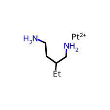 CCC(CN)CCN.[Pt+2]